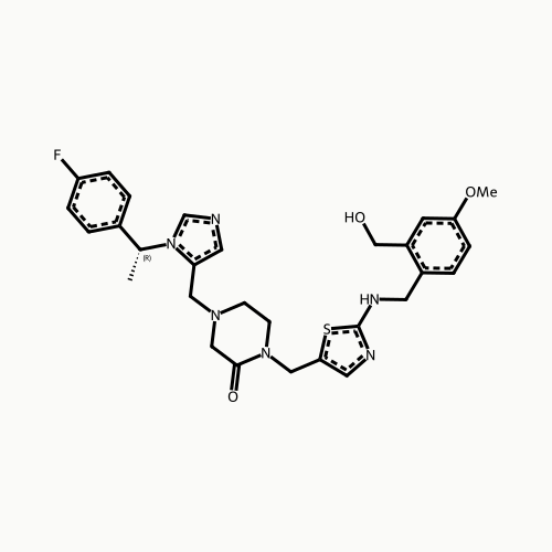 COc1ccc(CNc2ncc(CN3CCN(Cc4cncn4[C@H](C)c4ccc(F)cc4)CC3=O)s2)c(CO)c1